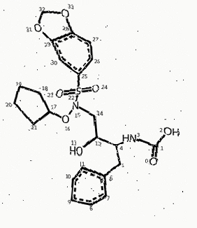 O=C(O)NC(Cc1ccccc1)C(O)CN(OC1CCCC1)S(=O)(=O)c1ccc2c(c1)OCO2